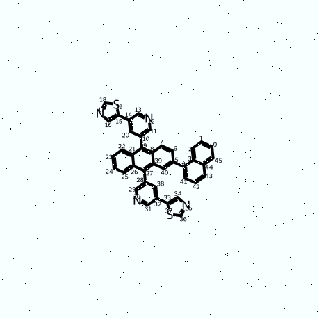 c1ccc2c(-c3ccc4c(-c5cncc(-c6cncs6)c5)c5ccccc5c(-c5cncc(-c6cncs6)c5)c4c3)cccc2c1